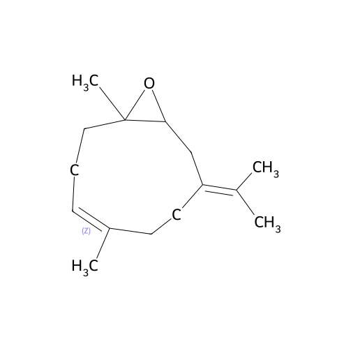 CC(C)=C1CC/C(C)=C\CCC2(C)OC2C1